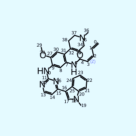 C=C/C=C\C(=O)Nc1cc(Nc2nccc(-c3cn(C)c4ccccc34)n2)c(OC)cc1C1=CCN(C)CC1